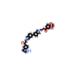 O=C(CCCN1Cc2ccc(-c3ccc4c(c3)CN(CCC(=O)c3ccc5c(c3)CCCN5)C4)cc2C1)c1ccc2c(c1)OCCO2